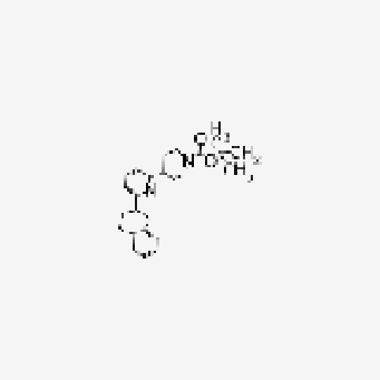 CC(C)(C)OC(=O)N1CCC(c2cccc(C3CCc4ccccc4C3)n2)CC1